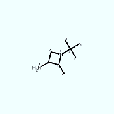 CC1C(N)CN1C(C)(C)C